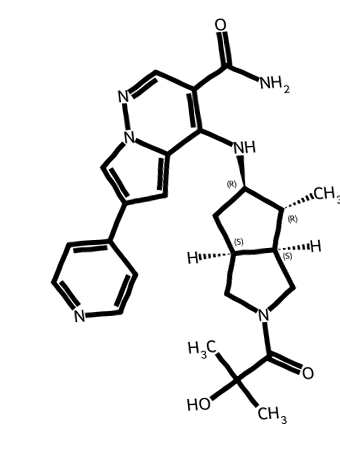 C[C@@H]1[C@H]2CN(C(=O)C(C)(C)O)C[C@H]2C[C@H]1Nc1c(C(N)=O)cnn2cc(-c3ccncc3)cc12